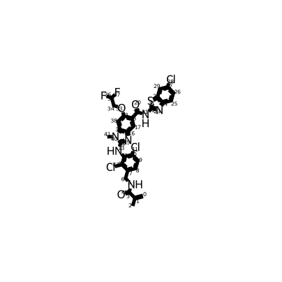 C=C(C)C(=O)NCc1ccc(Cl)c(Nc2nc3cc(C(=O)Nc4nc5ccc(Cl)cc5s4)c(OCC(F)F)cc3n2C)c1Cl